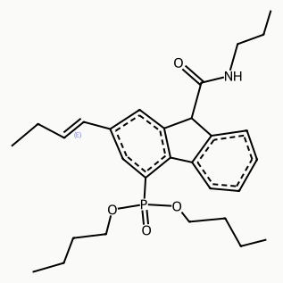 CC/C=C/c1cc2c(c(P(=O)(OCCCC)OCCCC)c1)-c1ccccc1C2C(=O)NCCC